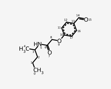 CCCC(C)NC(=O)COc1ccc(C=O)cc1